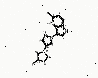 Cc1ccn2ncc(-n3cc(N4CCC(C)C4)cn3)c2n1